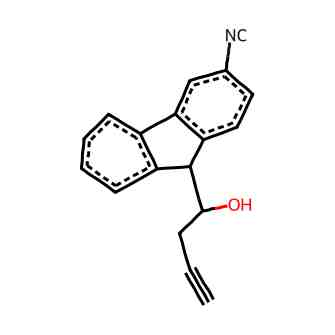 [C-]#[N+]c1ccc2c(c1)-c1ccccc1C2C(O)CC#C